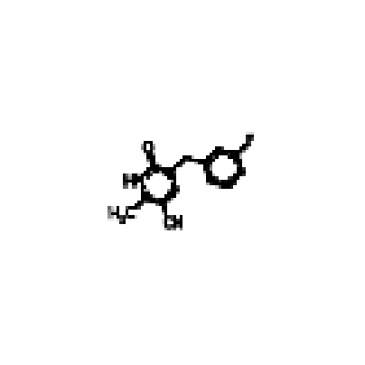 Cc1[nH]c(=O)c(Cc2cccc(F)c2)cc1C#N